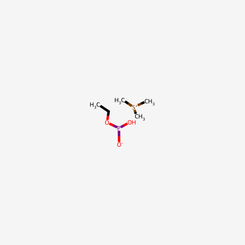 CCOP([O-])O.C[S+](C)C